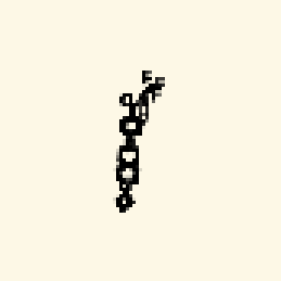 O=C(NCC(F)(F)F)c1ccc(N2CCC3(CC2)CCN(C2CCC2)CC3)cc1